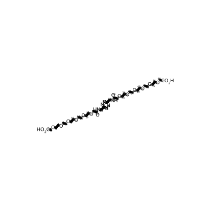 O=C(O)COCCOCCOCCOCCOCCOCC(=O)NCc1nnc(CNC(=O)COCCOCCOCCOCCOCCOCC(=O)O)nn1